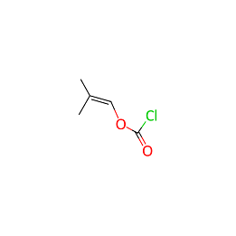 CC(C)=COC(=O)Cl